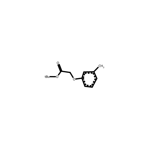 Cc1cccc(OCC(=O)OC(C)(C)C)c1